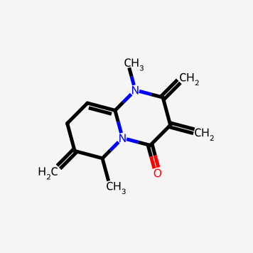 C=C1C(=C)N(C)C2=CCC(=C)C(C)N2C1=O